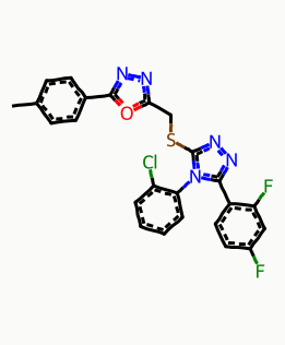 Cc1ccc(-c2nnc(CSc3nnc(-c4ccc(F)cc4F)n3-c3ccccc3Cl)o2)cc1